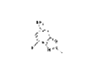 Cn1cc2cc(N)cc(F)c2n1